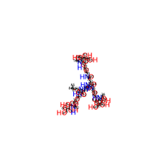 COC(CO)C(O)C(O)C(NC(C)=O)OCCOCCNC(=O)C(CCC(=O)NC(CCC(=O)NCCOCCOC1OC(CO)C(O)C(O)C1NC(C)=O)C(=O)NCCOCCOC1OC(CO)C(O)C(O)C1NC(C)=O)NC(=O)CCC(C)C